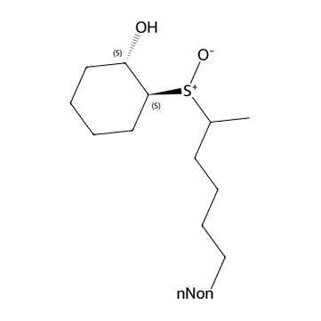 CCCCCCCCCCCCCC(C)[S+]([O-])[C@H]1CCCC[C@@H]1O